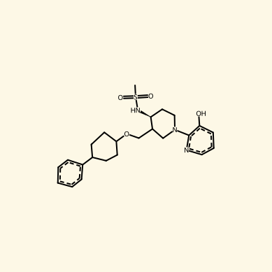 CS(=O)(=O)N[C@H]1CCN(c2ncccc2O)CC1COC1CCC(c2ccccc2)CC1